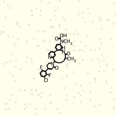 C[C@@H]1CCC[C@@H](N2CCC(c3c(F)ccc(Cl)c3F)=CC2=O)c2cc(ccn2)-c2ccc(N(C)C(=O)O)cc2NC1=O